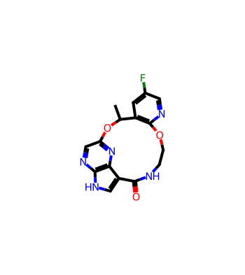 CC1Oc2cnc3[nH]cc(c3n2)C(=O)NCCOc2ncc(F)cc21